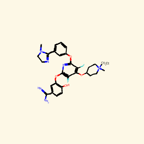 CCOC(=O)[N+]1(C)CCC(Oc2c(F)c(Oc3cccc(C4=NCCN4C)c3)nc(Oc3cc(C(=N)N)ccc3O)c2F)CC1